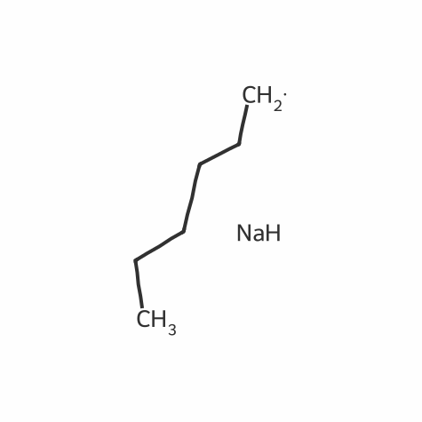 [CH2]CCCCC.[NaH]